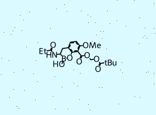 CCC(=O)NC1Cc2ccc(OC)c(C(=O)OCOC(=O)C(C)(C)C)c2OB1O